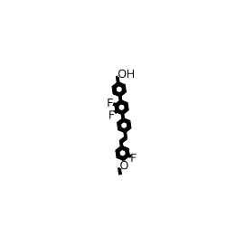 CCOc1ccc(/C=C/c2ccc(-c3ccc(-c4ccc(CO)cc4)c(F)c3F)cc2)cc1F